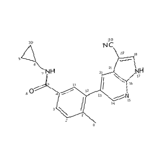 Cc1ccc(C(=O)NC2CC2)cc1-c1cnc2[nH]cc(C#N)c2c1